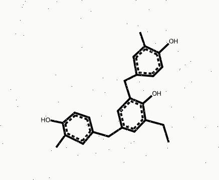 CCc1cc(Cc2ccc(O)c(C)c2)cc(Cc2ccc(O)c(C)c2)c1O